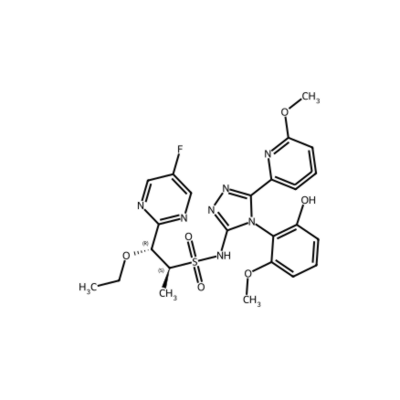 CCO[C@H](c1ncc(F)cn1)[C@H](C)S(=O)(=O)Nc1nnc(C2=C=C=CC(OC)=N2)n1-c1c(O)cccc1OC